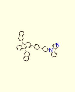 c1ccc2cc(-c3c4ccccc4c(-c4ccc5ccccc5c4)c4cc(-c5ccc(-c6ccc(-n7c8ccccc8c8cnccc87)cc6)cc5)ccc34)ccc2c1